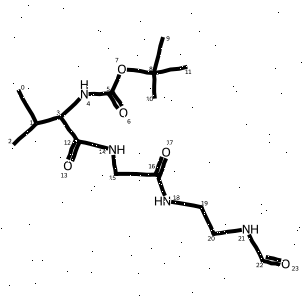 CC(C)C(NC(=O)OC(C)(C)C)C(=O)NCC(=O)NCCNC=O